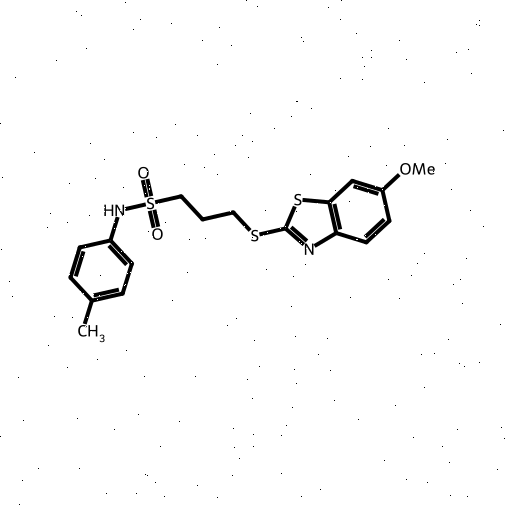 COc1ccc2nc(SCCCS(=O)(=O)Nc3ccc(C)cc3)sc2c1